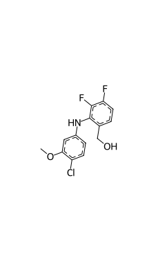 COc1cc(Nc2c(CO)ccc(F)c2F)ccc1Cl